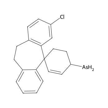 Clc1ccc2c(c1)C1(C=CC([AsH2])CC1)c1ccccc1CC2